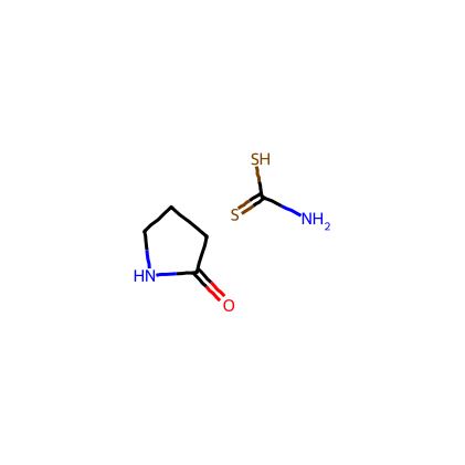 NC(=S)S.O=C1CCCN1